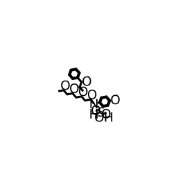 COc1ccc(NC(=O)CC(CCCC(C)=O)OC(=O)C(OC)c2ccccc2)c(S(=O)(=O)O)c1